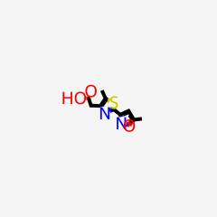 Cc1cc(-c2nc(CC(=O)O)c(C)s2)no1